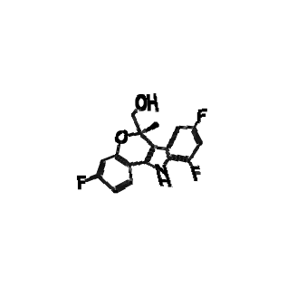 C[C@]1(CO)Oc2cc(F)ccc2-c2[nH]c3c(F)cc(F)cc3c21